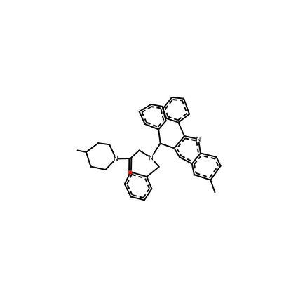 Cc1ccc2nc(-c3ccccc3)c(C(c3ccccc3)N(CC(=O)N3CCC(C)CC3)Cc3ccccc3)cc2c1